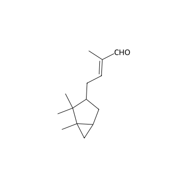 C/C(C=O)=C\CC1CC2CC2(C)C1(C)C